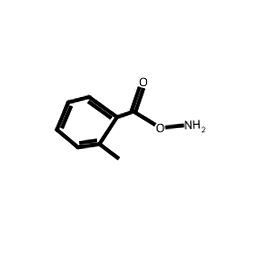 Cc1ccccc1C(=O)ON